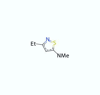 CCc1cc(NC)sn1